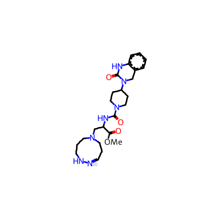 COC(=O)C(CN1CC/C=N\NCCC1)NC(=O)N1CCC(N2Cc3ccccc3NC2=O)CC1